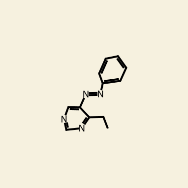 CCc1ncncc1N=Nc1ccccc1